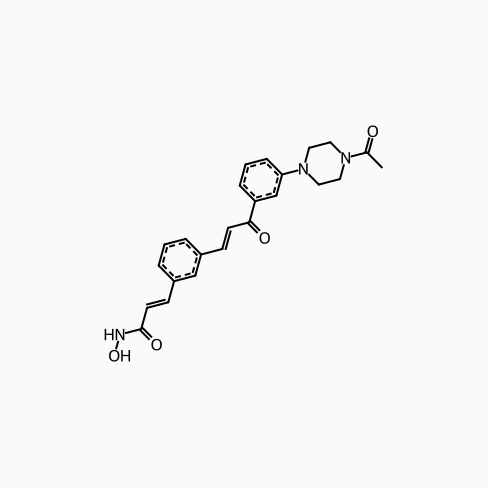 CC(=O)N1CCN(c2cccc(C(=O)/C=C/c3cccc(/C=C/C(=O)NO)c3)c2)CC1